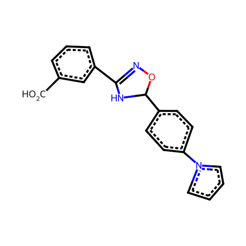 O=C(O)c1cccc(C2=NOC(c3ccc(-n4cccc4)cc3)N2)c1